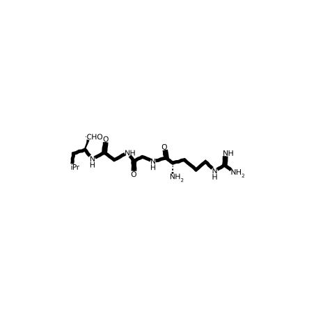 CC(C)C[C@@H]([C]=O)NC(=O)CNC(=O)CNC(=O)[C@@H](N)CCCNC(=N)N